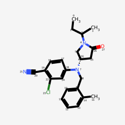 CCC(C)N1C[C@@H](N(Cc2ccccc2C)c2ccc(C#N)c(Cl)c2)CC1=O